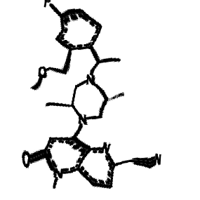 COCc1cc(F)ccc1C(C)N1C[C@H](C)N(c2cc(=O)n(C)c3ccc(C#N)nc23)C[C@H]1C